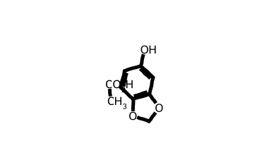 CC(=O)O.Oc1ccc2c(c1)OCO2